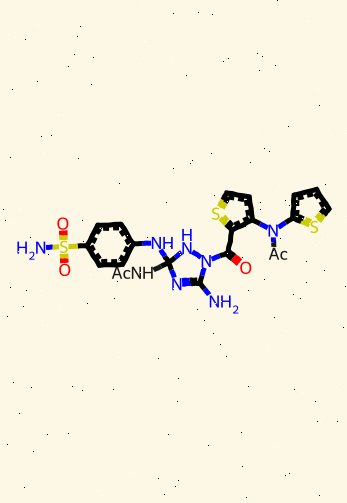 CC(=O)NC1(Nc2ccc(S(N)(=O)=O)cc2)N=C(N)N(C(=O)c2sccc2N(C(C)=O)c2cccs2)N1